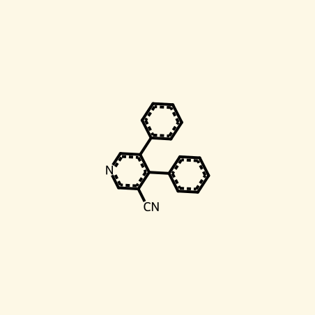 N#Cc1cncc(-c2ccccc2)c1-c1ccccc1